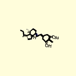 C=C1[C@H](O)CC(=C/C=C2\CC[C@@H](C)C3[C@H]2CC[C@@H]3[C@@H](C)CC)C[C@H]1O